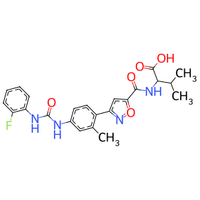 Cc1cc(NC(=O)Nc2ccccc2F)ccc1-c1cc(C(=O)NC(C(=O)O)C(C)C)on1